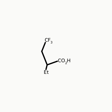 CCC(CC(F)(F)F)C(=O)O